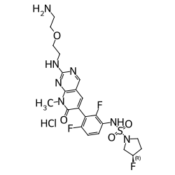 Cl.Cn1c(=O)c(-c2c(F)ccc(NS(=O)(=O)N3CC[C@@H](F)C3)c2F)cc2cnc(NCCOCCN)nc21